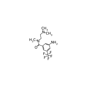 CN(C)CCN(C)C(=O)c1cc(N)cc(S(F)(F)(F)(F)F)c1